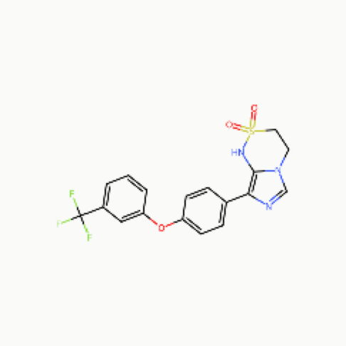 O=S1(=O)CCn2cnc(-c3ccc(Oc4cccc(C(F)(F)F)c4)cc3)c2N1